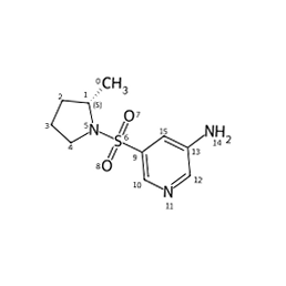 C[C@H]1CCCN1S(=O)(=O)c1cncc(N)c1